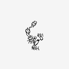 O=C(Nc1cc(-c2cccc3[nH]ccc23)cc2[nH]ncc12)c1csc(CN2CCN(CCN3CCOCC3)CC2)n1